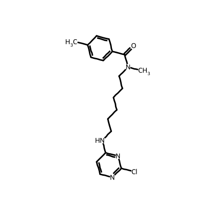 Cc1ccc(C(=O)N(C)CCCCCCNc2ccnc(Cl)n2)cc1